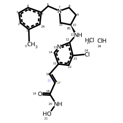 Cc1cccc(CN2CC[C@@H](Nc3ncc(/C=C/C(=O)NO)cc3Cl)C2)c1.Cl.Cl